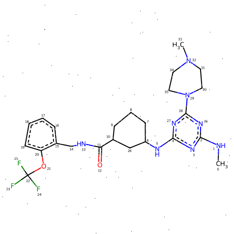 CNc1nc(NC2CCCC(C(=O)NCc3ccccc3OC(F)(F)F)C2)nc(N2CCN(C)CC2)n1